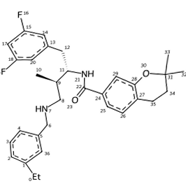 CCc1cccc(CNC[C@@H](C)[C@H](Cc2cc(F)cc(F)c2)NC(=O)c2ccc3c(c2)OC(C)(C)CC3)c1